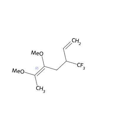 C=CC(C/C(OC)=C(\C)OC)C(F)(F)F